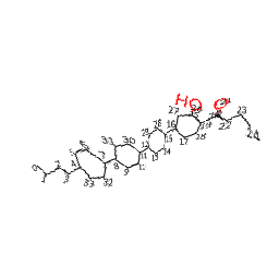 CCCCC1CCC(C2CCC(C3CCC(C4CCC(C(=O)CCC)C(O)C4)CC3)CC2)CC1